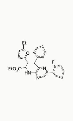 CCOC(=O)C(Cc1ccc(CC)o1)Nc1ncc(-c2ccccc2F)nc1Cc1ccccc1